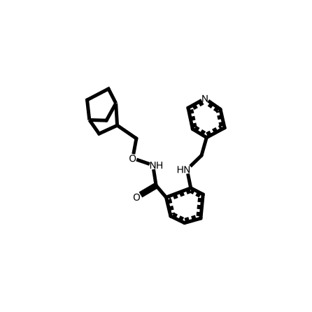 O=C(NOCC1CC2CCC1C2)c1ccccc1NCc1ccncc1